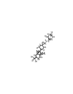 Cc1cc(OCCCN2CCN(C)CC2C)ccc1-c1nc2cc(C(C)(C)C)ccc2[nH]1